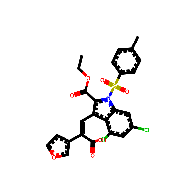 CCOC(=O)c1c(C=C(C(=O)O)c2ccoc2)c2c(Cl)cc(Cl)cc2n1S(=O)(=O)c1ccc(C)cc1